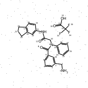 NCc1cccc(C(=O)N(CC(=O)Nc2ccc3c(c2)CCC3)c2ccccc2)c1.O=C(O)C(F)(F)F